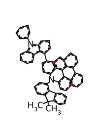 CC1(C)c2ccccc2-c2c(N(c3ccc(-c4cccc5c4c4ccccc4n5-c4ccccc4)cc3)c3ccccc3-c3cccc4cccc(-c5ccccc5)c34)cccc21